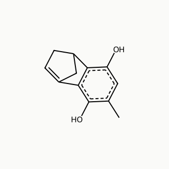 Cc1cc(O)c2c(c1O)C1=CCC2C1